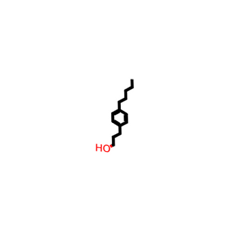 CCCCCc1ccc(CCCO)cc1